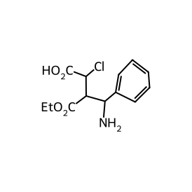 CCOC(=O)C(C(Cl)C(=O)O)C(N)c1ccccc1